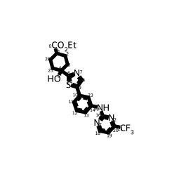 CCOC(=O)C1CCC(O)(c2ncc(-c3cccc(Nc4nccc(C(F)(F)F)n4)c3)s2)CC1